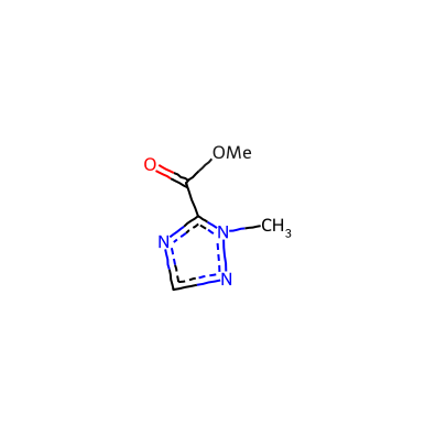 COC(=O)c1ncnn1C